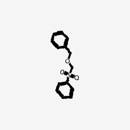 O=S(=O)(COCc1ccccc1)c1ccccc1